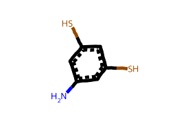 Nc1cc(S)cc(S)c1